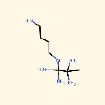 CC(N)(N)C(N)(N)NCCCCN